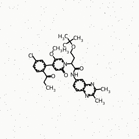 CCC(=O)c1ccc(Cl)cc1-c1cc(=O)n(C(CCOC(C)(C)C)C(=O)Nc2ccc3nc(C)c(C)nc3c2)cc1OC